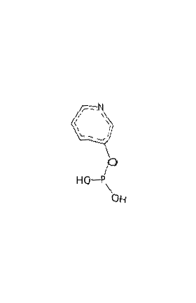 OP(O)Oc1cccnc1